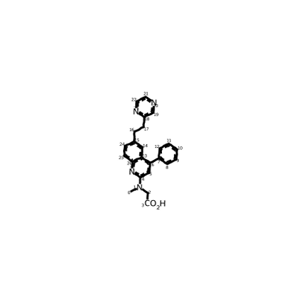 CN(CC(=O)O)c1cc(-c2ccccc2)c2cc(CCc3cnccn3)ccc2n1